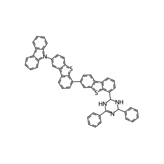 c1ccc(C2=NC(c3ccccc3)NC(c3cccc4c3sc3cc(-c5cccc6c5sc5ccc(-n7c8ccccc8c8ccccc87)cc56)ccc34)N2)cc1